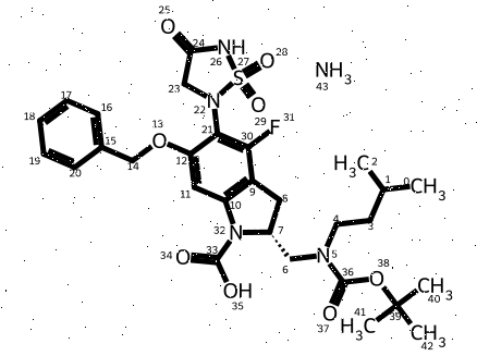 CC(C)CCN(C[C@H]1Cc2c(cc(OCc3ccccc3)c(N3CC(=O)NS3(=O)=O)c2F)N1C(=O)O)C(=O)OC(C)(C)C.N